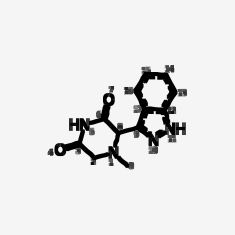 CN1CC(=O)NC(=O)C1c1n[nH]c2ccccc12